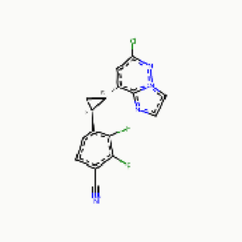 N#Cc1ccc([C@H]2C[C@@H]2c2cc(Cl)nn3ccnc23)c(F)c1F